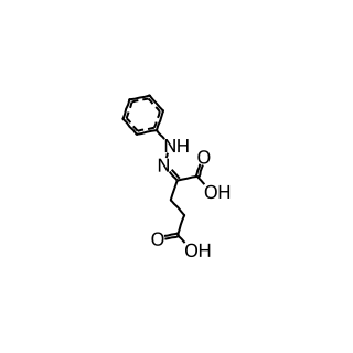 O=C(O)CCC(=NNc1ccccc1)C(=O)O